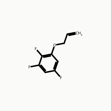 C=CCOc1[c]c(F)cc(F)c1F